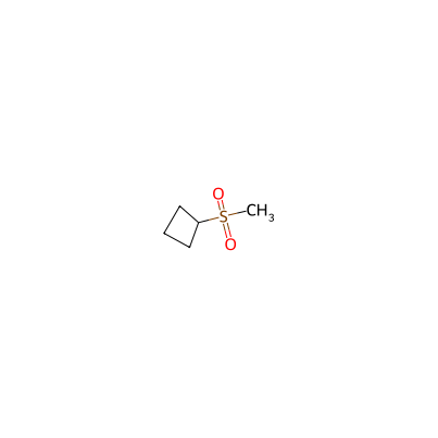 CS(=O)(=O)C1CCC1